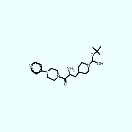 CC(C)(C)OC(O)N1CCC(C[C@H](N)C(=O)N2CCN(c3ccncc3)CC2)CC1